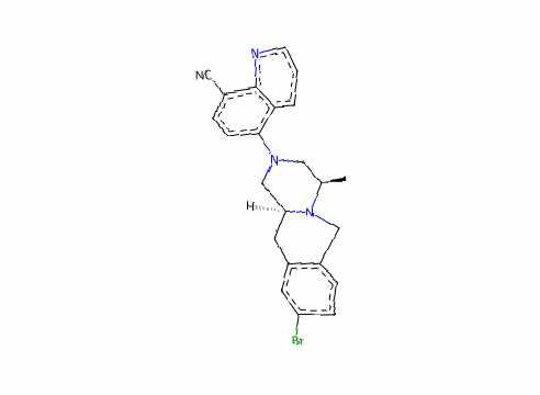 C[C@@H]1CN(c2ccc(C#N)c3ncccc23)C[C@@H]2Cc3cc(Br)ccc3CN21